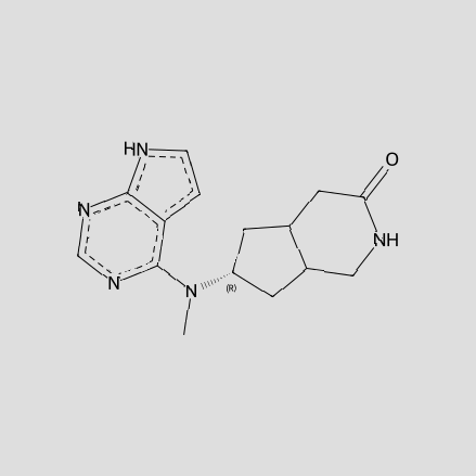 CN(c1ncnc2[nH]ccc12)[C@H]1CC2CNC(=O)CC2C1